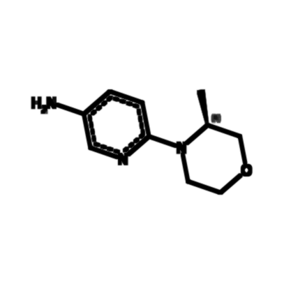 C[C@H]1COCCN1c1ccc(N)cn1